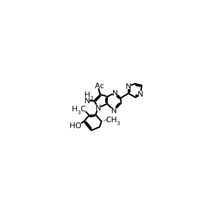 CC(=O)c1c(N)n(C2=C(C)C(O)=CC[C@H]2C)c2ncc(-c3cnccn3)nc12